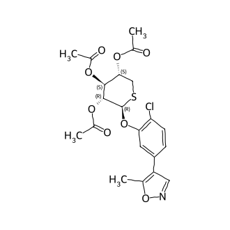 CC(=O)O[C@@H]1[C@@H](OC(C)=O)[C@H](OC(C)=O)CS[C@H]1Oc1cc(-c2cnoc2C)ccc1Cl